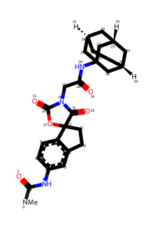 CNC(=O)Nc1ccc2c(c1)CCC21OC(=O)N(CC(=O)NC23C[C@H]4C[C@H](C2)C[C@@H](C3)C4)C1=O